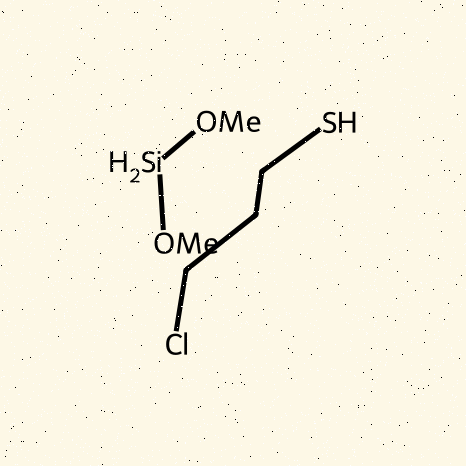 CO[SiH2]OC.SCCCCl